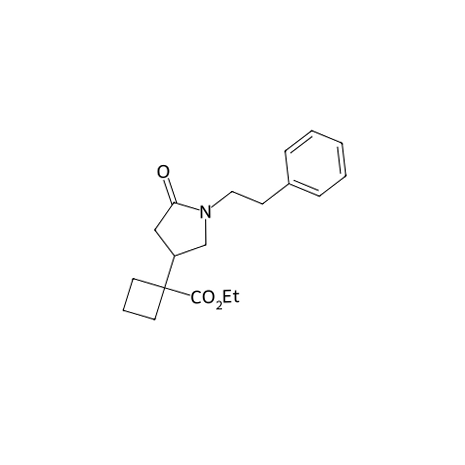 CCOC(=O)C1(C2CC(=O)N(CCc3ccccc3)C2)CCC1